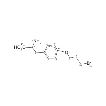 NC(Cc1ccc(OCCCBr)cc1)C(=O)O